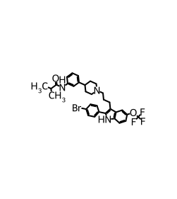 CC(C)C(=O)Nc1cccc(C2CCN(CCCc3c(-c4ccc(Br)cc4)[nH]c4ccc(OC(F)(F)F)cc34)CC2)c1